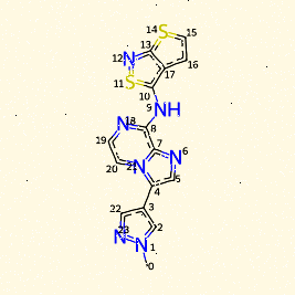 Cn1cc(-c2cnc3c(Nc4snc5sccc45)nccn23)cn1